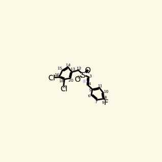 O=S(=O)(/C=C/c1ccc(F)cc1)Cc1ccc(Cl)c(Cl)c1